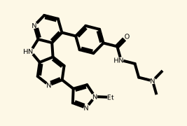 CCn1cc(-c2cc3c(cn2)[nH]c2nccc(-c4ccc(C(=O)NCCN(C)C)cc4)c23)cn1